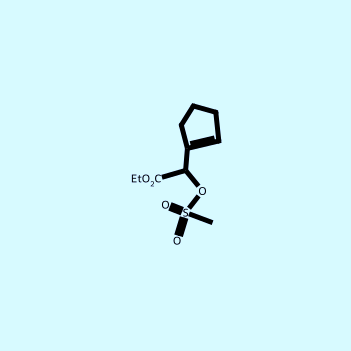 CCOC(=O)C(OS(C)(=O)=O)C1=CCCC1